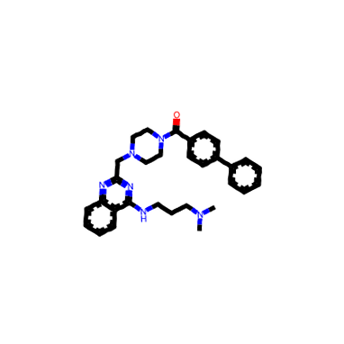 CN(C)CCCNc1nc(CN2CCN(C(=O)c3ccc(-c4ccccc4)cc3)CC2)nc2ccccc12